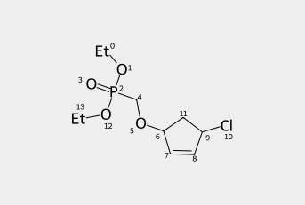 CCOP(=O)(COC1C=CC(Cl)C1)OCC